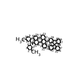 Cc1cccc(N(c2cccc(C)c2)c2ccc(-c3c4ccccc4c(-c4ccc5c(c4)C(c4ccccc4)(c4ccccc4)c4ccccc4-5)c4ccccc34)c3ccccc23)c1